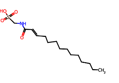 CCCCCCCCCCCC=CC(=O)NCS(=O)(=O)O